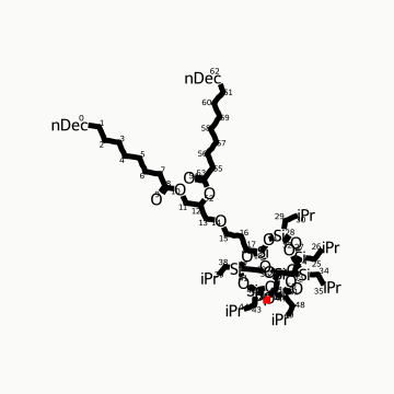 CCCCCCCCCCCCCCCCCC(=O)OCC(COCCC[Si]12O[Si]3(CC(C)C)O[Si]4(CC(C)C)O[Si](CC(C)C)(O1)O[Si]1(CC(C)C)O[Si](CC(C)C)(O2)O[Si](CC(C)C)(O3)O[Si](CC(C)C)(O4)O1)OC(=O)CCCCCCCCCCCCCCCCC